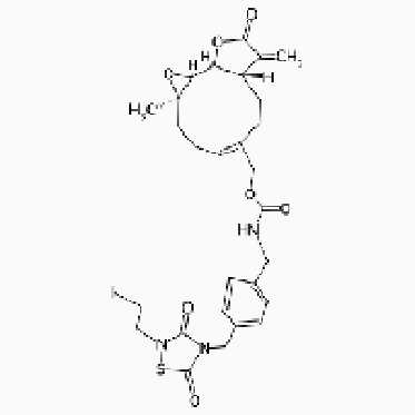 C=C1C(=O)O[C@H]2[C@H]1CC/C(COC(=O)NCc1ccc(Cn3c(=O)sn(CCI)c3=O)cc1)=C\CC[C@@]1(C)O[C@@H]21